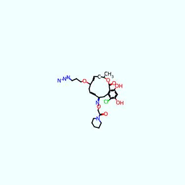 C[C@@H]1C/C=C/C(OCCCN=[N+]=[N-])C/C=C/C(=N/OCC(=O)N2CCCCC2)Cc2c(Cl)c(O)cc(O)c2C(=O)O1